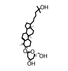 C[C@@H]1C2=CCC3C4CCC(CCCCC(C)(C)O)[C@@]4(C)CC[C@@]3(C)C2CC[C@@H]1O[C@H]1C[C@@H](O)C[C@@H](CO)O1